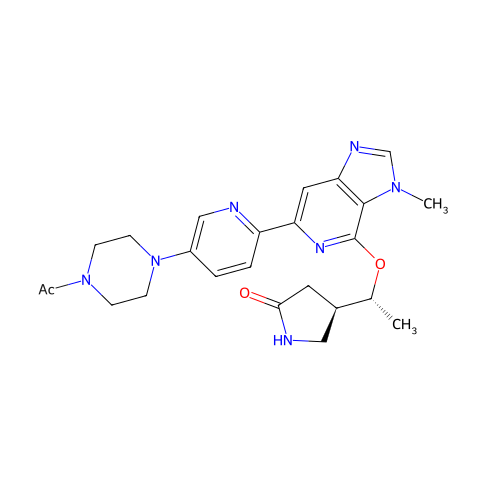 CC(=O)N1CCN(c2ccc(-c3cc4ncn(C)c4c(O[C@H](C)[C@H]4CNC(=O)C4)n3)nc2)CC1